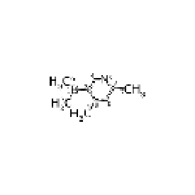 CB(C)c1cnc(C)cc1C